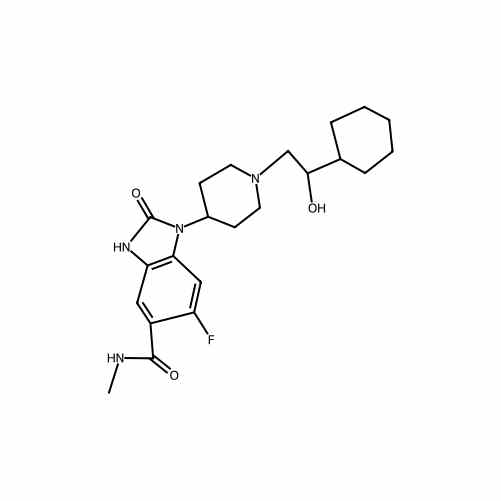 CNC(=O)c1cc2[nH]c(=O)n(C3CCN(CC(O)C4CCCCC4)CC3)c2cc1F